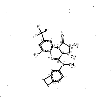 Cc1cc(C(F)(F)F)cc(N2C(=O)[C@H](O)[C@H](O)[C@H]2C(=O)N(C)c2ccc3c(c2)CC3)n1